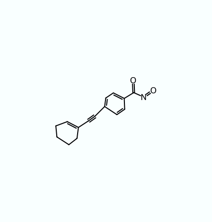 O=NC(=O)c1ccc(C#CC2=CCCCC2)cc1